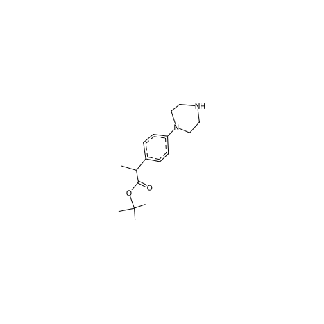 CC(C(=O)OC(C)(C)C)c1ccc(N2CCNCC2)cc1